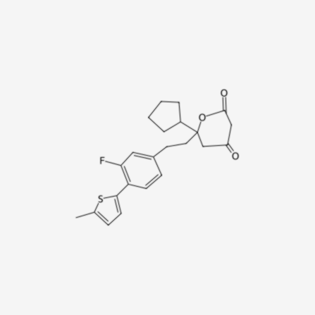 Cc1ccc(-c2ccc(CCC3(C4CCCC4)CC(=O)CC(=O)O3)cc2F)s1